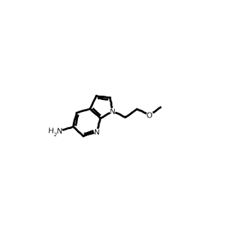 COCCn1ccc2cc(N)cnc21